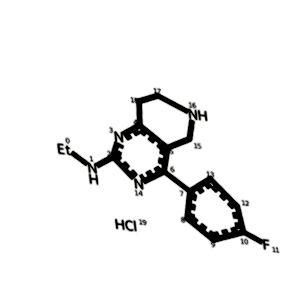 CCNc1nc2c(c(-c3ccc(F)cc3)n1)CNCC2.Cl